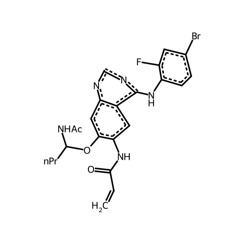 C=CC(=O)Nc1cc2c(Nc3ccc(Br)cc3F)ncnc2cc1OC(CCC)NC(C)=O